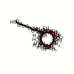 C/C=C/C[C@@H](C)C(OC(=O)OCOC(=O)C[C@@H](N)C(=O)OCCOCCOCCOCCOC(=O)CCC(=O)O)[C@H]1C(=O)NC(CC)C(=O)N(C)CC(=O)N(C)[C@@H](CC(C)C)C(=O)NC(C(C)C)C(=O)N(C)C(CC(C)C)C(=O)N[C@@H](C)C(=O)NC(C)C(=O)N(C)[C@H](CC(C)C)C(=O)N(C)C(CC(C)C)C(=O)N(C)C(C(C)C)C(=O)N1C